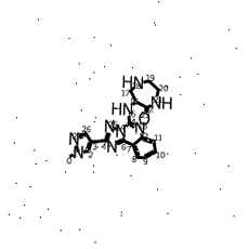 Cn1cc(-c2nc3c4ccccc4nc(NC4CNCCNC4=O)n3n2)cn1